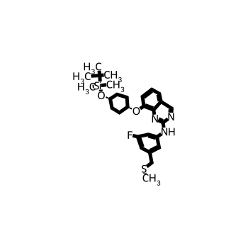 CSCc1cc(F)cc(Nc2ncc3cccc(O[C@H]4CC[C@@H](O[Si](C)(C)C(C)(C)C)CC4)c3n2)c1